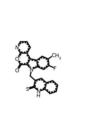 Cc1cc2c3c4cccnc4oc(=O)c3n(Cc3cc4ccccc4[nH]c3=S)c2cc1F